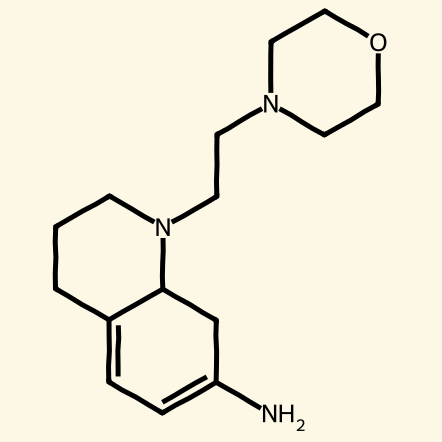 NC1=CC=C2CCCN(CCN3CCOCC3)C2C1